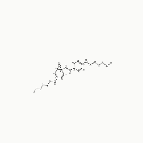 CCCCCCOC1=CC2OC2(N=Nc2ccc(OCCCCCC)cc2)C=C1